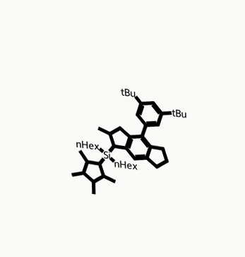 CCCCCC[Si](CCCCCC)(C1c2cc3c(c(-c4cc(C(C)(C)C)cc(C(C)(C)C)c4)c2CC1C)CCC3)C1C(C)C(C)C(C)C1C